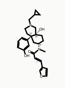 CN(C(=O)/C=C/c1ccoc1)[C@H]1CC[C@]2(O)CN(CC3CC3)CC[C@@]2(c2cccc(O)c2)C1